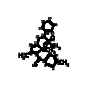 Cc1ccc(C(=S)c2c(C)cc(CC(c3ccccc3)S(N)(=O)=O)n2C)cc1